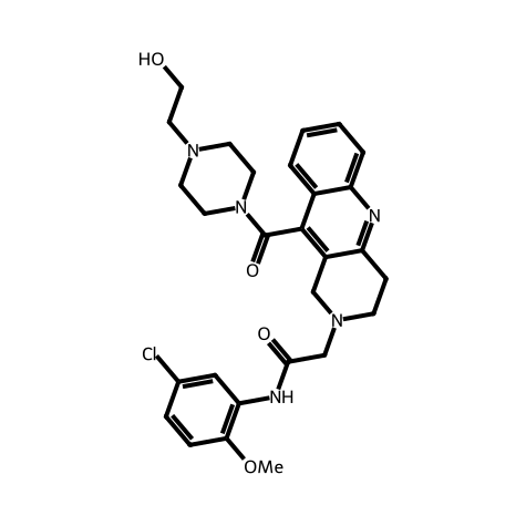 COc1ccc(Cl)cc1NC(=O)CN1CCc2nc3ccccc3c(C(=O)N3CCN(CCO)CC3)c2C1